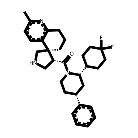 Cc1ccc2c(n1)CCC[C@]21CNC[C@H]1C(=O)N1CC[C@@H](c2ccccc2)C[C@H]1C1CCC(F)(F)CC1